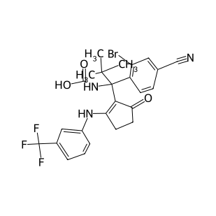 CC(C)(C)C(NC(=O)O)(C1=C(Nc2cccc(C(F)(F)F)c2)CCC1=O)c1ccc(C#N)cc1Br